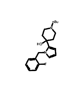 CCCCN1CCC(O)(c2cccn2Cc2ccccc2F)CC1